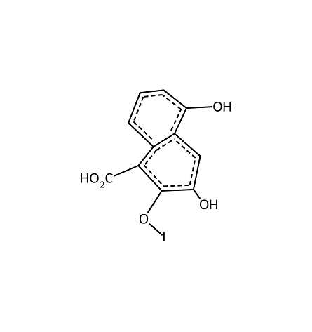 O=C(O)c1c(OI)c(O)cc2c(O)cccc12